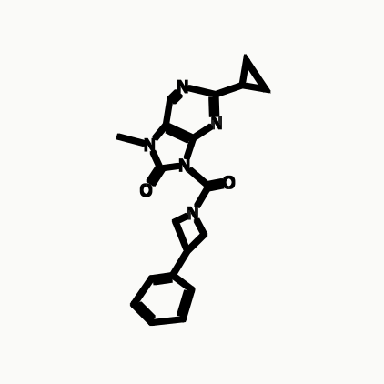 Cn1c(=O)n(C(=O)N2CC(c3ccccc3)C2)c2nc(C3CC3)ncc21